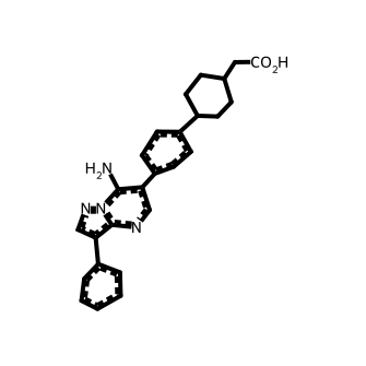 Nc1c(-c2ccc(C3CCC(CC(=O)O)CC3)cc2)cnc2c(-c3ccccc3)cnn12